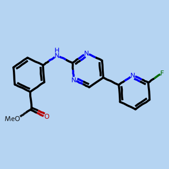 COC(=O)c1cccc(Nc2ncc(-c3cccc(F)n3)cn2)c1